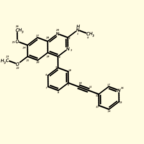 CNc1nc(-c2cccc(C#Cc3cccnc3)c2)c2cc(OC)c(OC)cc2n1